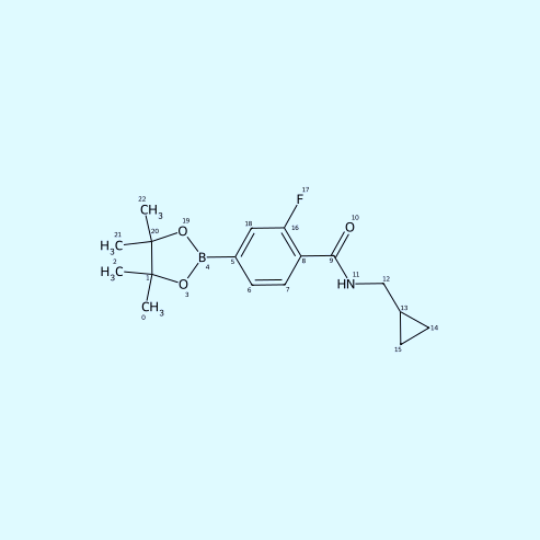 CC1(C)OB(c2ccc(C(=O)NCC3CC3)c(F)c2)OC1(C)C